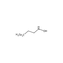 C.CCCNO